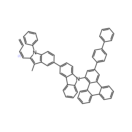 C=C/C=C\c1c(C)c2cc(-c3ccc4c(c3)c3ccccc3n4-c3cc(-c4ccc(-c5ccccc5)cc4)cc4c5ccccc5c5ccccc5c34)ccc2n1-c1ccccc1